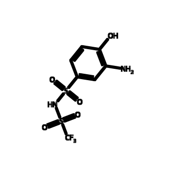 Nc1cc(S(=O)(=O)NS(=O)(=O)C(F)(F)F)ccc1O